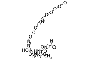 COc1cnc(-n2cnc(C(=O)N[C@H](CO)CCN3CCN(CCOCCOCCOCCOCc4cn(CCOCCOCCOCCOCCC=O)nn4)CC3)n2)c2[nH]cc(C(=O)C(=O)N3CCC(=C(C#N)c4ccccc4)CC3)c12